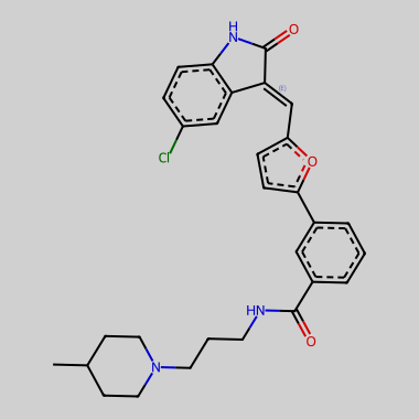 CC1CCN(CCCNC(=O)c2cccc(-c3ccc(/C=C4/C(=O)Nc5ccc(Cl)cc54)o3)c2)CC1